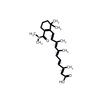 CC(=C\C=C\C(C)=C\C(=O)O)/C=C(C)/C=C/C1=C(C(=O)N(C)C)CCCC1(C)C